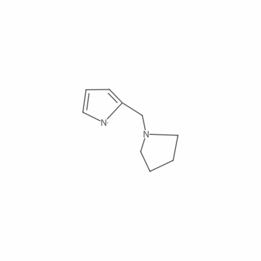 C1=C[N]C(CN2CCCC2)=C1